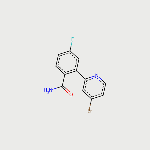 NC(=O)c1ccc(F)cc1-c1cc(Br)ccn1